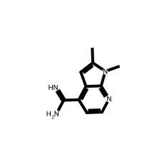 Cc1cc2c(C(=N)N)ccnc2n1C